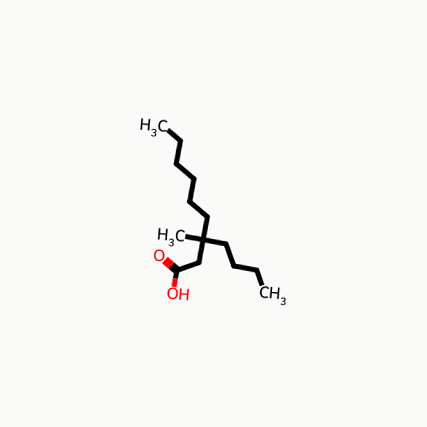 CCCCCCC(C)(CCCC)CC(=O)O